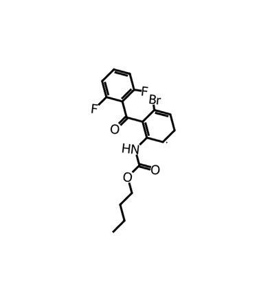 CCCCOC(=O)NC1=C(C(=O)c2c(F)cccc2F)C(Br)=CC[CH]1